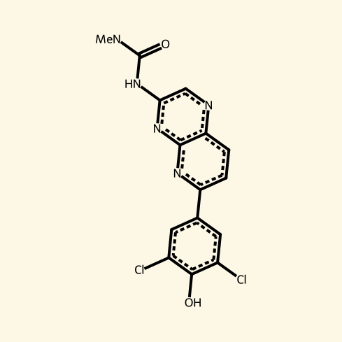 CNC(=O)Nc1cnc2ccc(-c3cc(Cl)c(O)c(Cl)c3)nc2n1